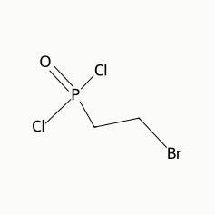 O=P(Cl)(Cl)CCBr